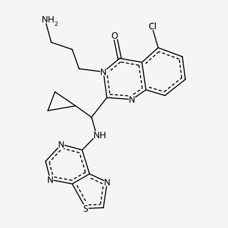 NCCCn1c(C(Nc2ncnc3scnc23)C2CC2)nc2cccc(Cl)c2c1=O